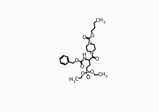 CCCCOC(=O)N1CCN(C(=O)C(CCP(=O)(OCC)OCC)NC(=O)OCc2ccccc2)CC1